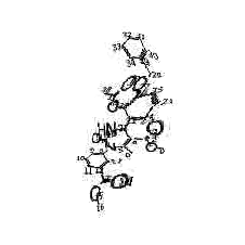 COC(=O)C1=C(C)N(c2cccc(C(=O)OC)c2)C(=O)NC1c1cccc(OCc2ccccc2)c1OC(C)=O